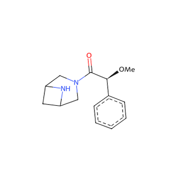 CO[C@H](C(=O)N1CC2CC(C1)N2)c1ccccc1